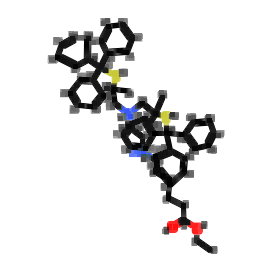 CCOC(=O)CCCCCNCCN(CC(C)(C)SC(c1ccccc1)(c1ccccc1)c1ccccc1)CC(C)(C)SC(c1ccccc1)(c1ccccc1)c1ccccc1